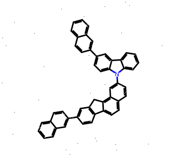 c1ccc2cc(-c3ccc4c(c3)Cc3c-4ccc4ccc(-n5c6ccccc6c6cc(-c7ccc8ccccc8c7)ccc65)cc34)ccc2c1